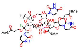 CNC(=O)CCOC1C(O)C(COP(=O)(O)C(C)(C)OC2C(COC(=O)C(C)(C)O[C@H]3C(CO)O[C@@H](n4ccc(=O)[nH]c4=O)C3(F)OCCC(=O)NC)OC(n3ccc(=O)[nH]c3=O)C2OCCC(=O)NC)OC1n1ccc(=O)[nH]c1=O